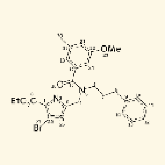 CCOC(=O)c1nc(CN(CCCc2ccccc2)C(=O)c2cc(C)cc(OC)c2)sc1Br